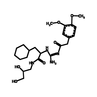 COc1ccc(CC(=O)N=C(N)NC(CC2CCCCC2)C(=O)NCC(O)CO)cc1OC